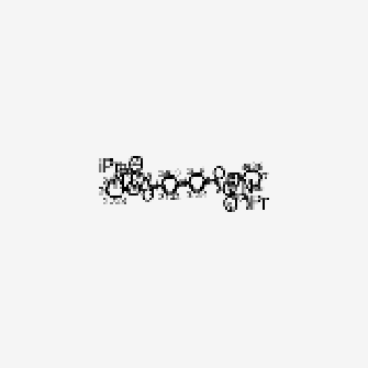 CC(C)[C@@H](C(=O)OCC(=O)c1ccc(-c2ccc(C(=O)COC(=O)[C@H](C(C)C)N3CCCCC3=O)cc2)cc1)N1CCCCC1=O